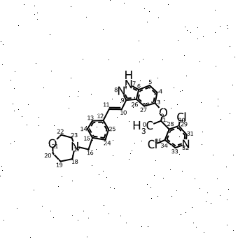 CC(Oc1ccc2[nH]nc(/C=C/c3ccc(CN4CCCOCC4)cc3)c2c1)c1c(Cl)cncc1Cl